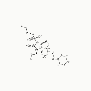 CCCCS(=O)(=O)N1C(=O)[C@H](CCC)[C@@H]2C1=CCN2C(=O)CCN1CCCCC1